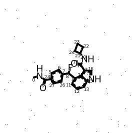 CNC(=O)c1ccc(C(F)c2cccc3[nH]cc(C(=O)NC4CCC4)c23)cc1